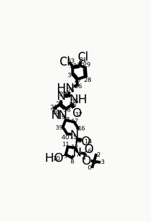 CC(C)(C)OC(=O)N1C[C@H](O)C[C@H]1C(=O)N1CCC(n2ncc3nc(NCc4ccc(Cl)c(Cl)c4)[nH]c(=O)c32)CC1